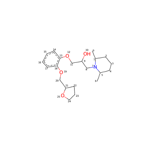 CC1CCCC(C)N1CC(O)COc1ccccc1OCC1CCCO1